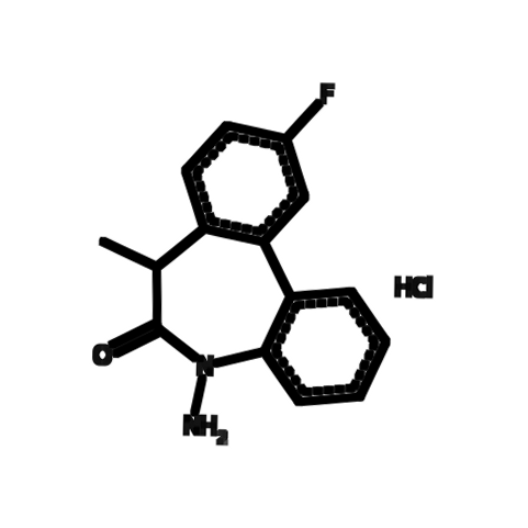 CC1C(=O)N(N)c2ccccc2-c2cc(F)ccc21.Cl